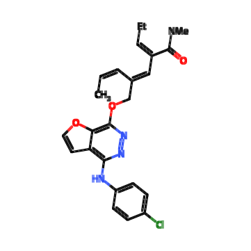 C\C=C/C(=C\C(=C\CC)C(=O)NC)COc1nnc(Nc2ccc(Cl)cc2)c2ccoc12